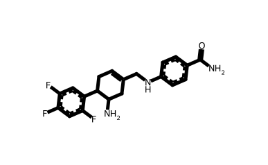 NC(=O)c1ccc(NCC2=CCC(c3cc(F)c(F)cc3F)C(N)C2)cc1